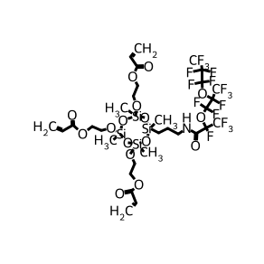 C=CC(=O)OCCO[Si]1(C)O[Si](C)(CCCNC(=O)C(F)(OC(F)(F)C(F)(OC(F)(F)C(F)(F)C(F)(F)F)C(F)(F)F)C(F)(F)F)O[Si](C)(OCCOC(=O)C=C)O[Si](C)(OCCOC(=O)C=C)O1